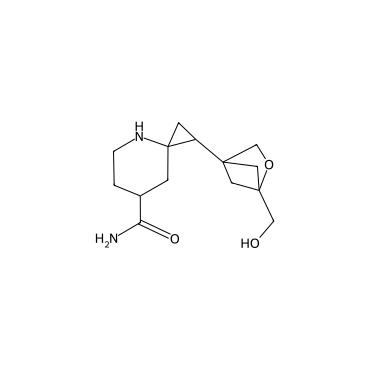 NC(=O)C1CCNC2(C1)CC2C12COC(CO)(C1)C2